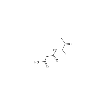 CC(=O)C(C)NC(=O)CC(=O)O